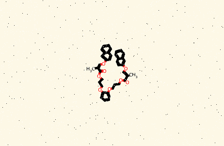 CC(=COc1ccc2ccccc2c1)C(=O)OCCCOc1ccccc1OCCCOC(=O)C(C)=COc1ccc2ccccc2c1